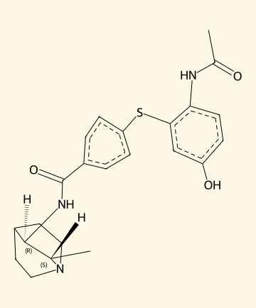 CC(=O)Nc1ccc(O)cc1Sc1ccc(C(=O)N[C@@H]2C3CCN(CC3)[C@H]2C)cc1